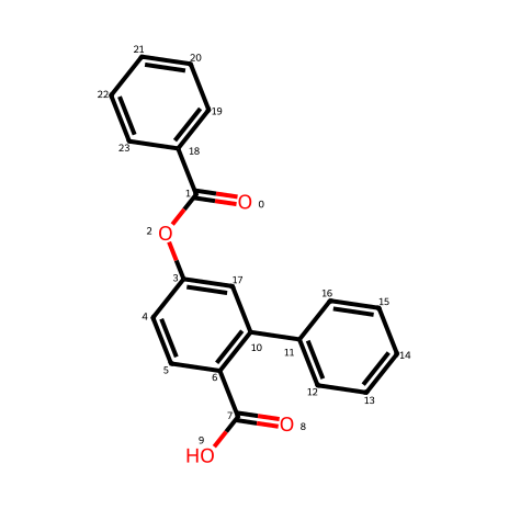 O=C(Oc1ccc(C(=O)O)c(-c2ccccc2)c1)c1ccccc1